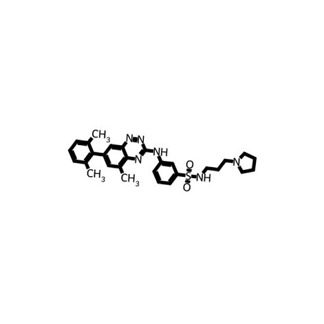 Cc1cccc(C)c1-c1cc(C)c2nc(Nc3cccc(S(=O)(=O)NCCCN4CCCC4)c3)nnc2c1